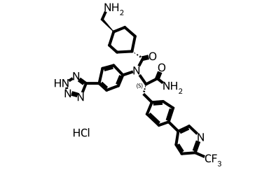 Cl.NC[C@H]1CC[C@H](C(=O)N(c2ccc(-c3nn[nH]n3)cc2)[C@@H](Cc2ccc(-c3ccc(C(F)(F)F)nc3)cc2)C(N)=O)CC1